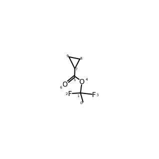 CC(F)(F)OC(=O)C1CC1